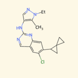 CCn1ncc(Nc2ncc3cc(Cl)c(C4CC45CC5)cc3n2)c1C